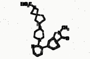 CCOC(=O)N1CC2(CC[C@@H](N3CCN(c4ncccc4-c4ccc5c(c4)CN(C)C5=O)CC3)C2)C1